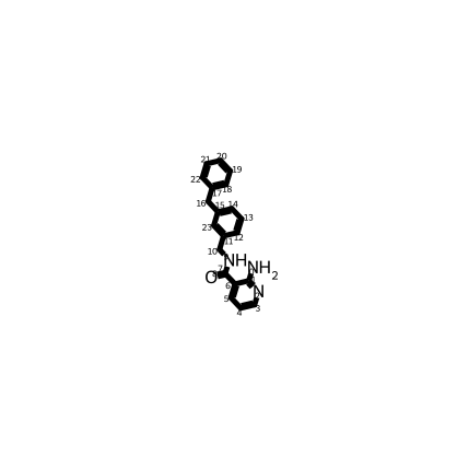 Nc1ncccc1C(=O)NCc1cccc(Cc2ccccc2)c1